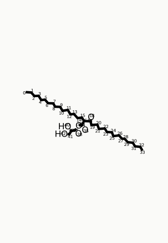 CCCCCCCCCCCCCCCCC(C(=O)CCCCCCCCCCCCCCC)C(=O)OC(=O)C(O)CO